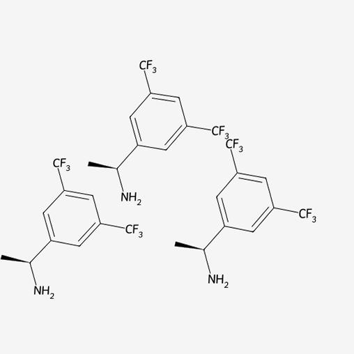 C[C@H](N)c1cc(C(F)(F)F)cc(C(F)(F)F)c1.C[C@H](N)c1cc(C(F)(F)F)cc(C(F)(F)F)c1.C[C@H](N)c1cc(C(F)(F)F)cc(C(F)(F)F)c1